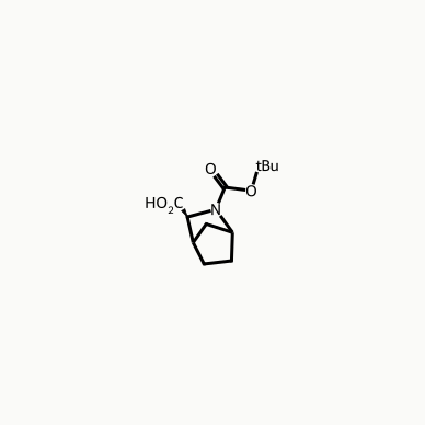 CC(C)(C)OC(=O)N1C2CCC(C2)[C@H]1C(=O)O